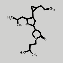 CCCC1CC1C1CC(C2CC(=O)N(CCC(C)C)C2)NC1CC(C)C